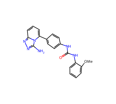 COc1ccccc1NC(=O)Nc1ccc(-c2cccc3nnc(N)n23)cc1